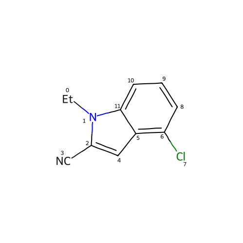 [CH2]Cn1c(C#N)cc2c(Cl)cccc21